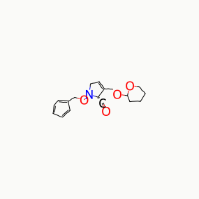 O=C=C1C(COC2CCCCO2)=CCN1OCc1ccccc1